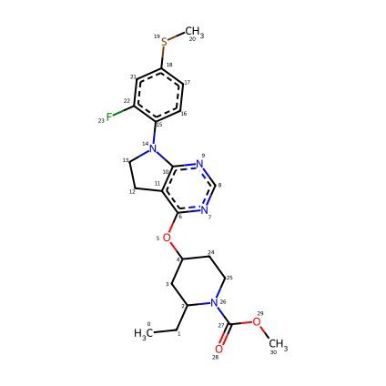 CCC1CC(Oc2ncnc3c2CCN3c2ccc(SC)cc2F)CCN1C(=O)OC